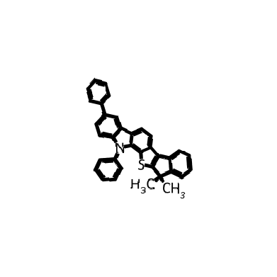 CC1(C)c2ccccc2-c2c1sc1c2ccc2c3cc(-c4ccccc4)ccc3n(-c3ccccc3)c21